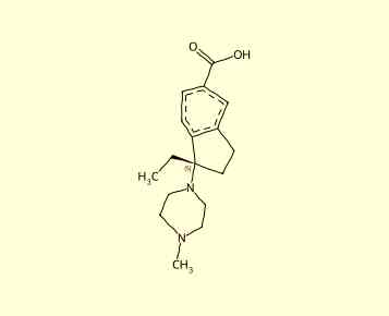 CC[C@]1(N2CCN(C)CC2)CCc2cc(C(=O)O)ccc21